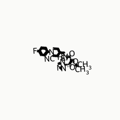 [C-]#[N+]c1cc(F)ccc1N1CCC(CNC(=O)[C@@H]2OC(C)(C)O[C@H]2c2nncn2C)CC1